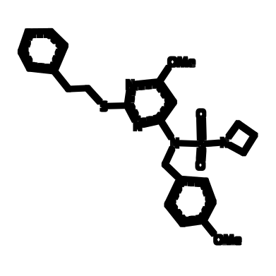 COc1ccc(CN(c2cc(OC)nc(SCCc3ccccc3)n2)S(=O)(=O)N2CCC2)cc1